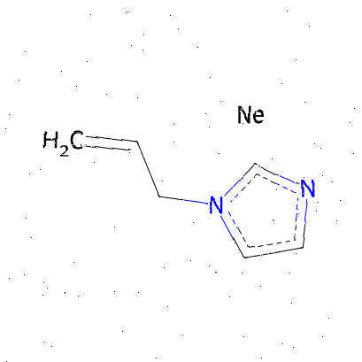 C=CCn1ccnc1.[Ne]